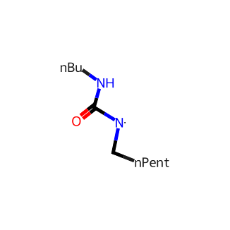 CCCCCC[N]C(=O)NCCCC